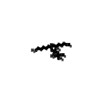 CCCCCC[SiH](CCCCCC)O[Si](C)(C)O[Si](C)(C)C